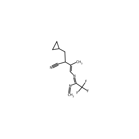 C=N/C(=N\C=C(/C)C(C#N)CC1CC1)C(F)(F)F